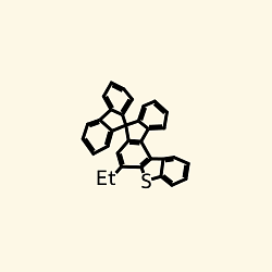 CCc1cc2c(c3c1sc1ccccc13)-c1ccccc1C21c2ccccc2-c2ccccc21